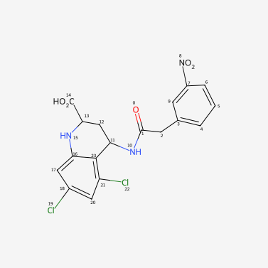 O=C(Cc1cccc([N+](=O)[O-])c1)NC1CC(C(=O)O)Nc2cc(Cl)cc(Cl)c21